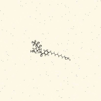 CCCCCCCCCCc1ccc(C(=O)NCC2(CC(=O)OC(=O)C(F)(F)F)CCNC2)cc1